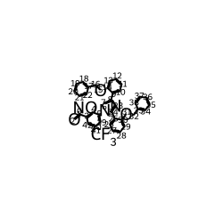 O=NC(=O)c1cc(-n2cc(-c3ccccc3OCc3ccccc3)nc2-c2ccccc2OCc2ccccc2)cc(C(F)(F)F)c1